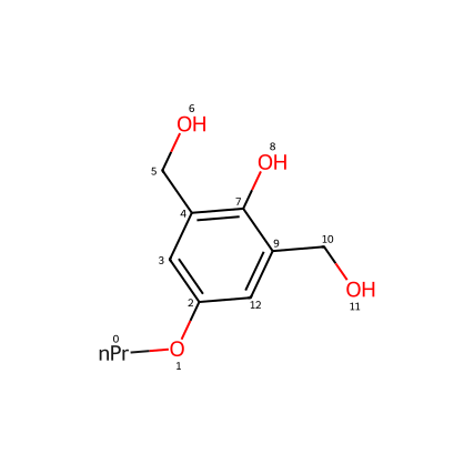 CCCOc1cc(CO)c(O)c(CO)c1